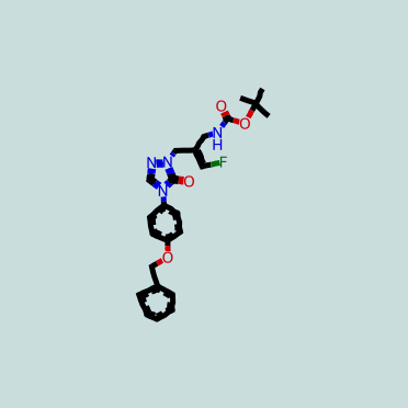 CC(C)(C)OC(=O)NCC(=CF)Cn1ncn(-c2ccc(OCc3ccccc3)cc2)c1=O